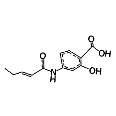 CCC=CC(=O)Nc1ccc(C(=O)O)c(O)c1